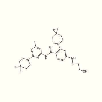 Cc1cc(NC(=O)c2ccc(NSCCO)cc2N2CCC3(CC2)CC3)nc(N2CCC(F)(F)CC2)c1